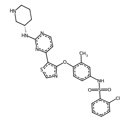 Cc1cc(NS(=O)(=O)c2ccccc2Cl)ccc1Oc1ncsc1-c1ccnc(N[C@H]2CCCNC2)n1